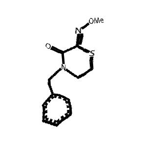 CON=C1SCCN(Cc2ccccc2)C1=O